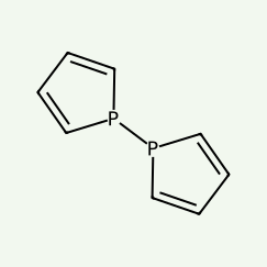 c1ccp(-p2cccc2)c1